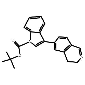 CC(C)(C)OC(=O)n1cc(-c2ccc3c(c2)CCN=C3)c2ccccc21